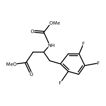 COC(=O)CC(Cc1cc(F)c(F)cc1F)NC(=O)OC